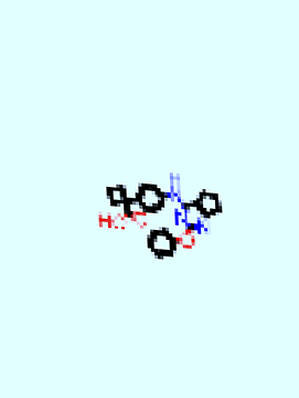 O=C(O)C1(c2ccc(Nc3nc(Oc4ccccc4)nc4c3CCC4)cc2)CCC1